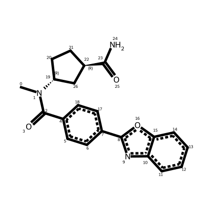 CN(C(=O)c1ccc(-c2nc3ccccc3o2)cc1)[C@@H]1CC[C@@H](C(N)=O)C1